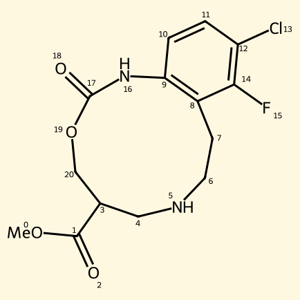 COC(=O)C1CNCCc2c(ccc(Cl)c2F)NC(=O)OC1